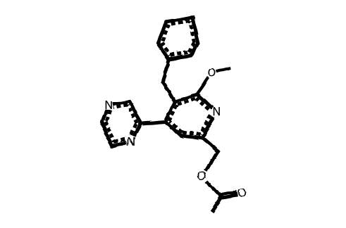 COc1nc(COC(C)=O)cc(-c2cnccn2)c1Cc1ccccc1